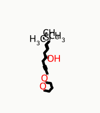 C[Si](C)(C)CC=CC[C@@H](O)CC#CCOC1CCCCO1